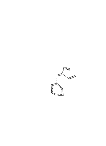 C=CC(=Cc1ccccc1)CCCC